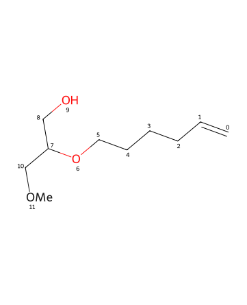 C=CCCCCOC(CO)COC